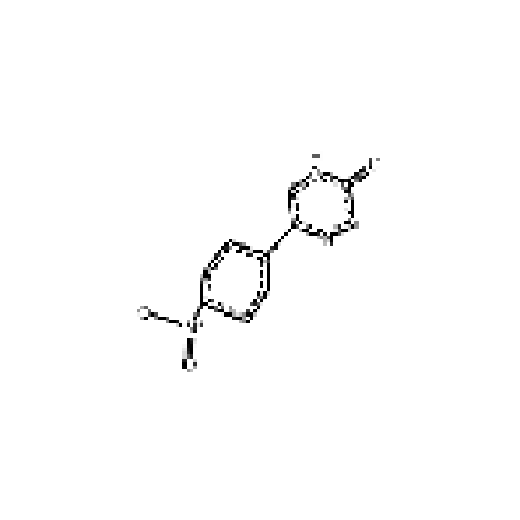 O=c1cnc(-c2ccc([N+](=O)[O-])cc2)c[nH]1